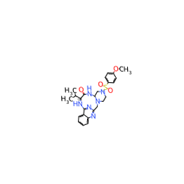 COc1ccc(S(=O)(=O)N2CCN3Cc4nc(c5ccccc5n4)N[C@@H](C(C)C)C(=O)NC3C2)cc1